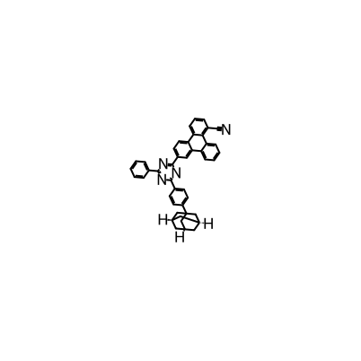 N#Cc1cccc2c3ccc(-c4nc(-c5ccccc5)nc(-c5ccc(C67C[C@H]8C[C@H](C6)C[C@@H](C7)C8)cc5)n4)cc3c3ccccc3c12